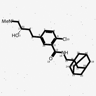 CNC[C@@H](O)CCc1ccc(Cl)c(C(=O)NCC23CC4CC(CC(C4)C2)C3)c1